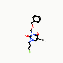 Cc1cn(CCCF)c(=O)n(COCc2ccccc2)c1=O